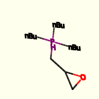 CCCC[PH](CCCC)(CCCC)CC1CO1